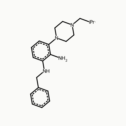 C[C](C)CN1CCN(c2cccc(NCc3ccccc3)c2N)CC1